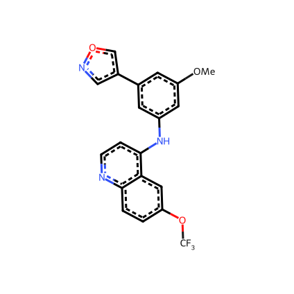 COc1cc(Nc2ccnc3ccc(OC(F)(F)F)cc23)cc(-c2cnoc2)c1